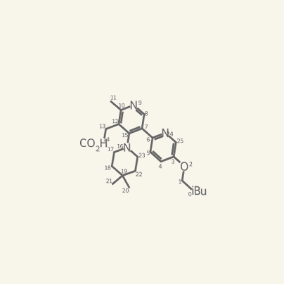 CCC(C)COc1ccc(-c2cnc(C)c(CC(=O)O)c2N2CCC(C)(C)CC2)nc1